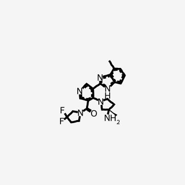 Cc1cccc2[nH]c(-c3cncc(C(=O)N4CCC(F)(F)C4)c3N3CC[C@](C)(N)C3)nc12